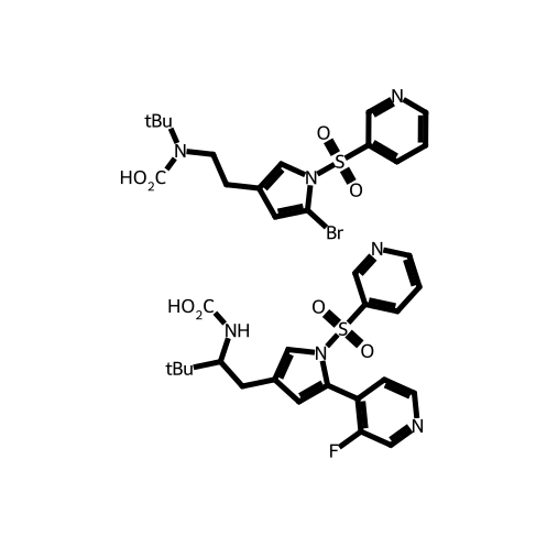 CC(C)(C)C(Cc1cc(-c2ccncc2F)n(S(=O)(=O)c2cccnc2)c1)NC(=O)O.CC(C)(C)N(CCc1cc(Br)n(S(=O)(=O)c2cccnc2)c1)C(=O)O